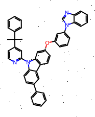 CC(C)(c1ccccc1)c1ccnc(-n2c3ccc(-c4ccccc4)cc3c3ccc(Oc4cccc(-n5cnc6ccccc65)c4)cc32)c1